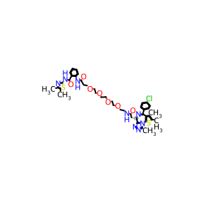 Cc1nc(NC(=O)c2ccccc2NC(=O)CCOCCOCCOCCOCCNC(=O)C[C@@H]2N=C(c3ccc(Cl)cc3)c3c(sc(C)c3C)-n3c(C)nnc32)sc1C